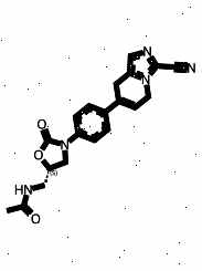 CC(=O)NC[C@H]1CN(c2ccc(C3=CCn4c(cnc4C#N)C3)cc2)C(=O)O1